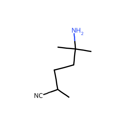 CC(C#N)CCC(C)(C)N